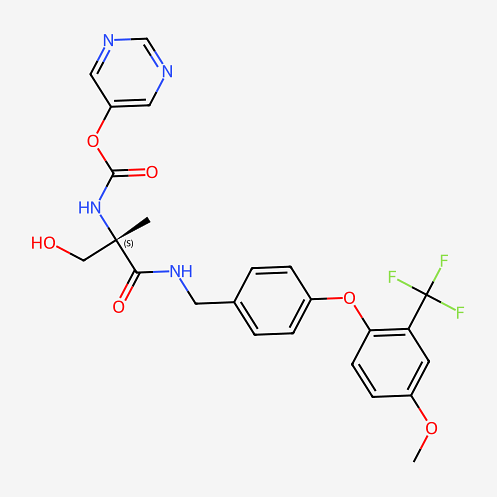 COc1ccc(Oc2ccc(CNC(=O)[C@](C)(CO)NC(=O)Oc3cncnc3)cc2)c(C(F)(F)F)c1